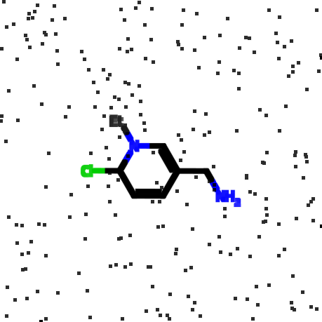 CCN1C=C(CN)C=CC1Cl